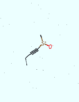 CCC#C[S+](C)[O-]